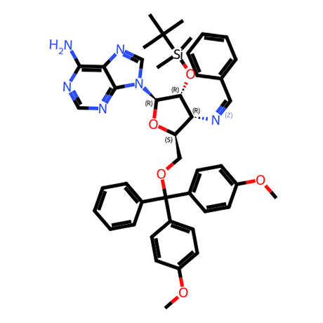 COc1ccc(C(OC[C@H]2O[C@@H](n3cnc4c(N)ncnc43)[C@H](O[Si](C)(C)C(C)(C)C)[C@@H]2/N=C\c2ccccc2)(c2ccccc2)c2ccc(OC)cc2)cc1